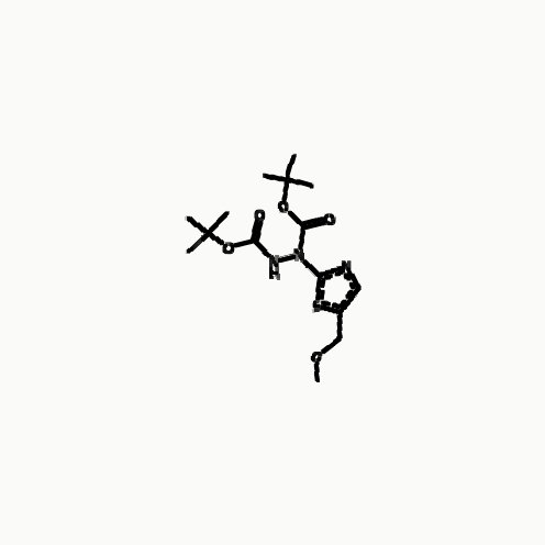 COCc1cnc(N(NC(=O)OC(C)(C)C)C(=O)OC(C)(C)C)s1